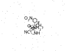 CC(N)(CS(=O)(=O)CC1(C#N)CCNCC1)c1cc([N+](=O)[O-])ccc1F